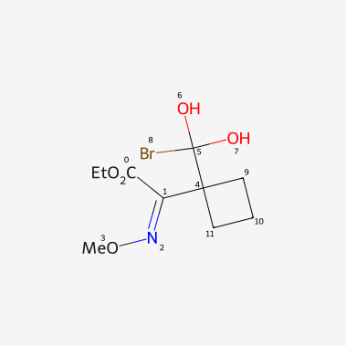 CCOC(=O)C(=NOC)C1(C(O)(O)Br)CCC1